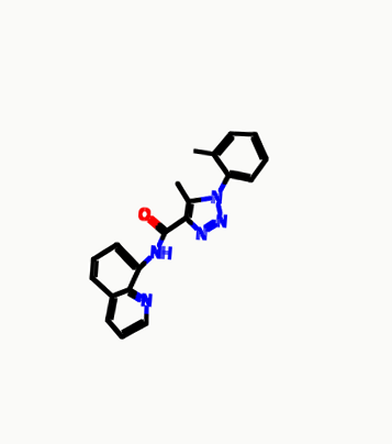 Cc1ccccc1-n1nnc(C(=O)Nc2cccc3cccnc23)c1C